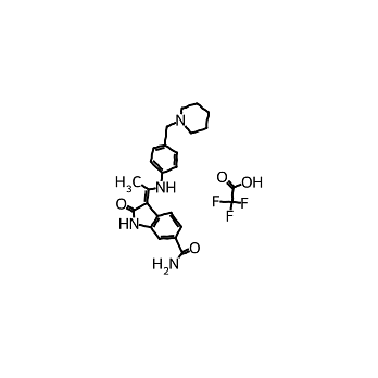 CC(Nc1ccc(CN2CCCCC2)cc1)=C1C(=O)Nc2cc(C(N)=O)ccc21.O=C(O)C(F)(F)F